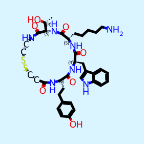 C[C@@H](O)[C@@H]1NC(=O)[C@H](CCCCCN)NC(=O)[C@@H](Cc2c[nH]c3ccccc23)NC(=O)[C@H](CCc2ccc(O)cc2)NC(=O)CCSSCCNC1=O